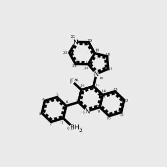 Bc1ccccc1-c1nc2ccccc2c(-n2ccc3cnccc32)c1F